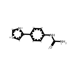 NC(=O)Nc1ccc(-c2cscn2)cc1